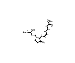 CCCCCC(O)CCN1CCC(=O)C1C/C=C\CCCC(=O)OC